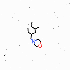 CCC(C)CC(CC)CN1CCOCC1